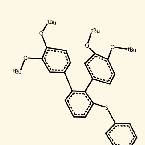 CC(C)(C)Oc1ccc(-c2cccc(Sc3ccccc3)c2-c2ccc(OC(C)(C)C)c(OC(C)(C)C)c2)cc1OC(C)(C)C